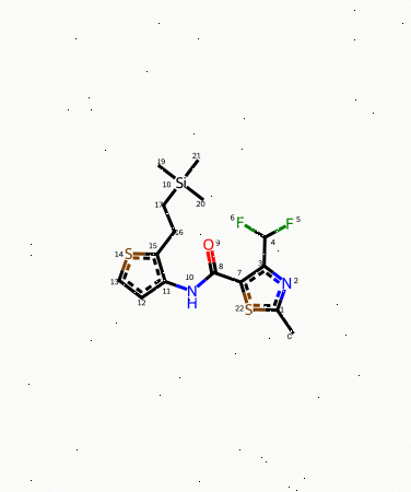 Cc1nc(C(F)F)c(C(=O)Nc2ccsc2CC[Si](C)(C)C)s1